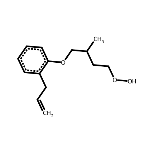 C=CCc1ccccc1OCC(C)CCOO